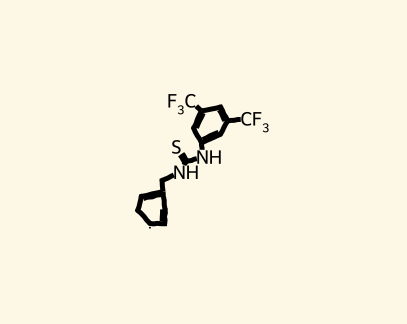 FC(F)(F)c1cc(NC(=S)NCC2=CC[CH]C=C2)cc(C(F)(F)F)c1